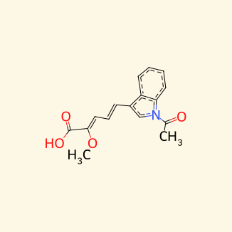 CO/C(=C\C=C\c1cn(C(C)=O)c2ccccc12)C(=O)O